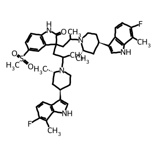 Cc1c(F)ccc2c([C@@H]3CCN(C(C)CC4(CC(C)N5CC[C@@H](c6c[nH]c7c(C)c(F)ccc67)C[C@@H]5C)C(=O)Nc5ccc(S(C)(=O)=O)cc54)[C@@H](C)C3)c[nH]c12